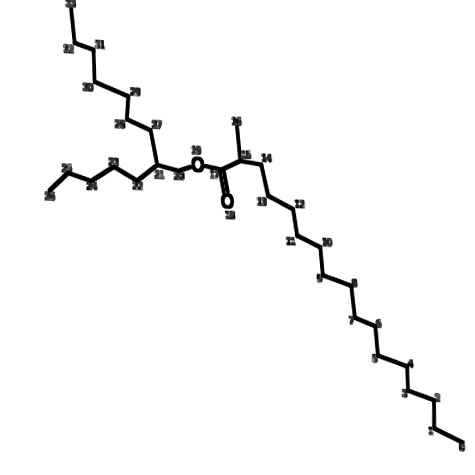 CCCCCCCCCCCCCCCC(C)C(=O)OCC(CCCCC)CCCCCCC